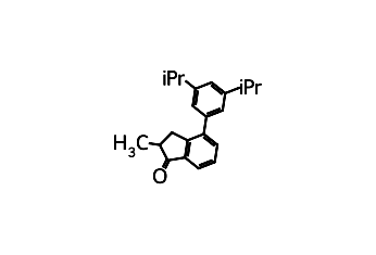 CC1Cc2c(cccc2-c2cc(C(C)C)cc(C(C)C)c2)C1=O